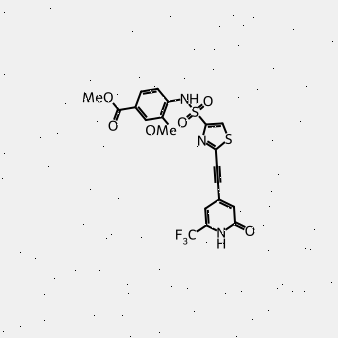 COC(=O)c1ccc(NS(=O)(=O)c2csc(C#Cc3cc(C(F)(F)F)[nH]c(=O)c3)n2)c(OC)c1